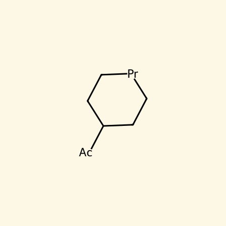 CC(=O)C1C[CH2][Pr][CH2]C1